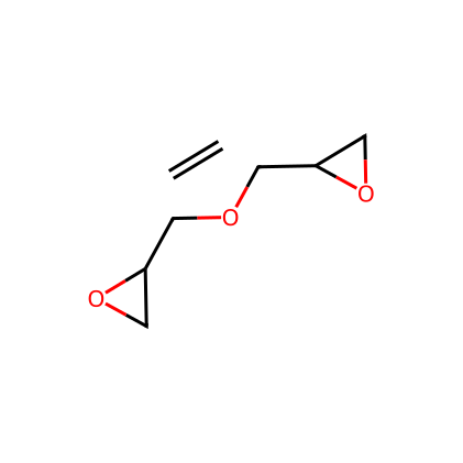 C(OCC1CO1)C1CO1.C=C